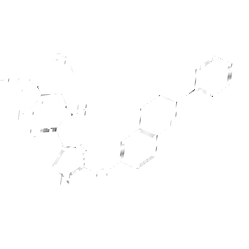 CC(C)C[C@H](NC(=O)c1cnc(Oc2ccc3c(c2)CC[C@@H](c2ccccc2)O3)s1)[C@@H](O)C(=O)O